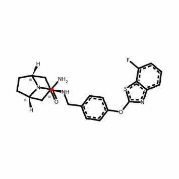 NC(=O)N1[C@@H]2CC[C@H]1C[C@H](NCc1ccc(Oc3nc4cccc(F)c4s3)cc1)C2